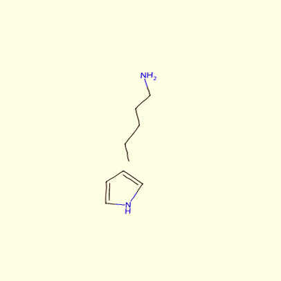 CCCCCN.c1cc[nH]c1